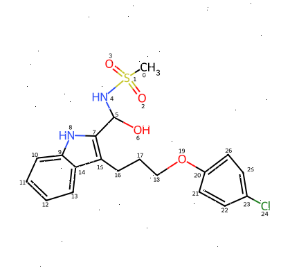 CS(=O)(=O)NC(O)c1[nH]c2ccccc2c1CCCOc1ccc(Cl)cc1